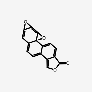 O=C1OC=c2c1ccc1c2=CC=C2C=C3OC3=C3O[C@@]231